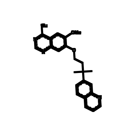 COc1cc2c(C(C)(C)C)ncnc2cc1OCCC(C)(C)c1ccc2cccnc2c1